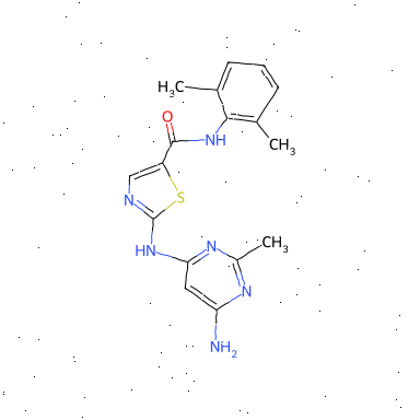 Cc1nc(N)cc(Nc2ncc(C(=O)Nc3c(C)cccc3C)s2)n1